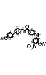 COc1ccc(N2CCN(CCC(=O)N3CCC(Nc4ccc([N+](=O)[O-])c(OC)c4)CC3)CC2)cc1